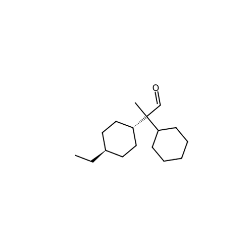 CC[C@H]1CC[C@H](C(C)(C=O)C2CCCCC2)CC1